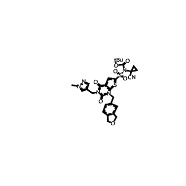 Cn1cc(Cn2c(=O)c3cc(S(=O)(=O)N(C(=O)OC(C)(C)C)C4(C#N)CC4)sc3n(Cc3ccc4c(c3)COC4)c2=O)cn1